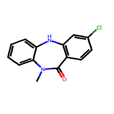 CN1C(=O)c2ccc(Cl)cc2Nc2ccccc21